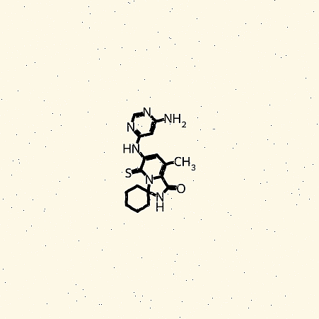 Cc1cc(Nc2cc(N)ncn2)c(=S)n2c1C(=O)NC21CCCCC1